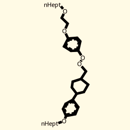 [CH2+][CH-]CCCCCOCCOc1ccc(OOCC2CCC(c3ccc(OCCCCCCC)cc3)CC2)cc1